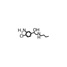 CCCCNCC(O)c1ccc(Cl)c(N)c1